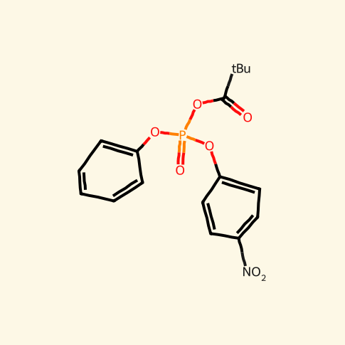 CC(C)(C)C(=O)OP(=O)(Oc1ccccc1)Oc1ccc([N+](=O)[O-])cc1